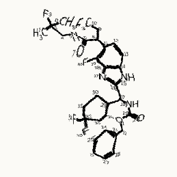 CC(C)(F)CNC(=O)C(CC(F)(F)F)c1ccc2[nH]c(C(NC(=O)OCc3ccccc3)C3CCC(F)(F)CC3)nc2c1F